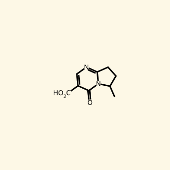 CC1CCc2ncc(C(=O)O)c(=O)n21